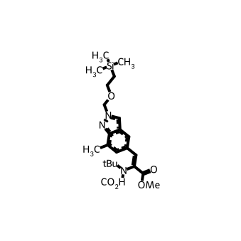 COC(=O)/C(=C/c1cc(C)c2nn(COCC[Si](C)(C)C)cc2c1)N(C(=O)O)C(C)(C)C